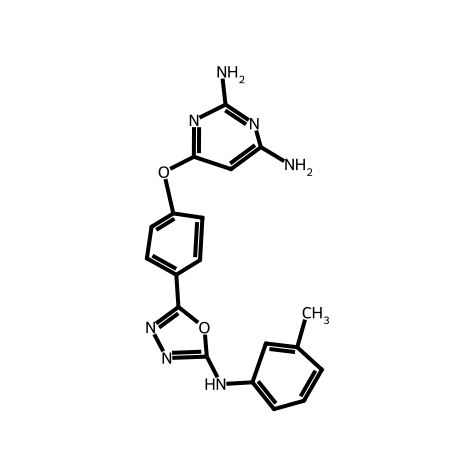 Cc1cccc(Nc2nnc(-c3ccc(Oc4cc(N)nc(N)n4)cc3)o2)c1